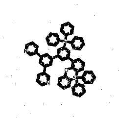 c1ccc([Si](c2ccccc2)(c2ccccc2)c2cc(-c3cc(-c4cccnc4)cc(-c4cccnc4)c3)cc(-c3cccc4c3Oc3ccccc3[Si]4(c3ccccc3)c3ccccc3)c2)cc1